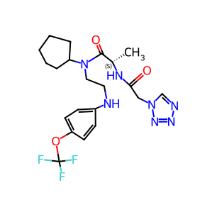 C[C@H](NC(=O)Cn1cnnn1)C(=O)N(CCNc1ccc(OC(F)(F)F)cc1)C1CCCCC1